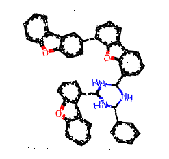 c1ccc(C2NC(c3cccc4c3oc3c(-c5ccc6oc7ccccc7c6c5)cccc34)NC(c3cccc4oc5ccccc5c34)N2)cc1